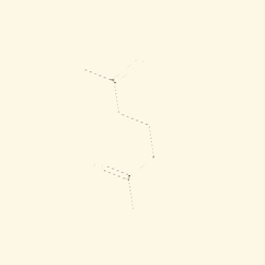 CC(=O)CC[C@H](C)C(C)=O